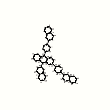 c1ccc2cc(-c3ccc(-c4c5ccccc5c(-c5ccc6ccccc6c5)c5cc(-c6ccc(-c7cnc8ccccc8c7)nc6)ccc45)cc3)ccc2c1